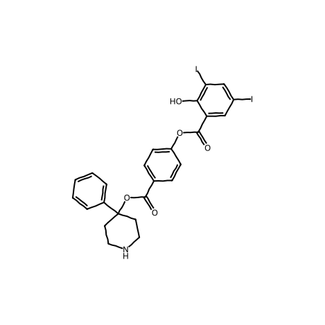 O=C(OC1(c2ccccc2)CCNCC1)c1ccc(OC(=O)c2cc(I)cc(I)c2O)cc1